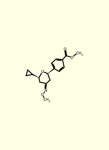 CO/N=C1\C[C@@H](C2CC2)O[C@@H](c2ccc(C(=O)OC)cc2)C1